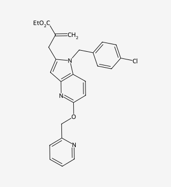 C=C(Cc1cc2nc(OCc3ccccn3)ccc2n1Cc1ccc(Cl)cc1)C(=O)OCC